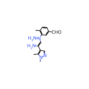 Cc1ccc(C=O)cc1N(N)/C=C(\N)c1cnn(C)c1C